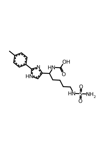 Cc1ccc(-c2nc(C(CCCCNS(N)(=O)=O)NC(=O)O)c[nH]2)cc1